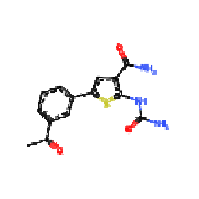 CC(=O)c1cccc(-c2cc(C(N)=O)c(NC(N)=O)s2)c1